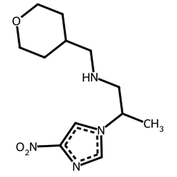 CC(CNCC1CCOCC1)n1cnc([N+](=O)[O-])c1